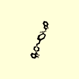 c1ccc2oc(SNC3CCC(CCN4CCN(c5nsc6ccccc56)CC4)CC3)cc2c1